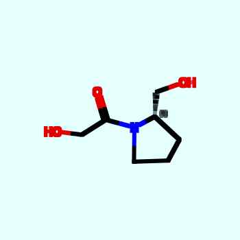 O=C(CO)N1CCC[C@H]1CO